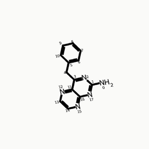 Nc1nc(Cc2ccccc2)c2nccnc2n1